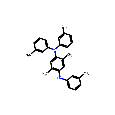 Cc1cccc(Nc2cc(C)c(N(c3cccc(C)c3)c3cccc(C)c3)cc2C)c1